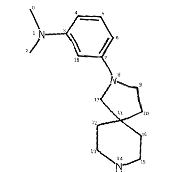 CN(C)c1cccc(N2CCC3(CCNCC3)C2)c1